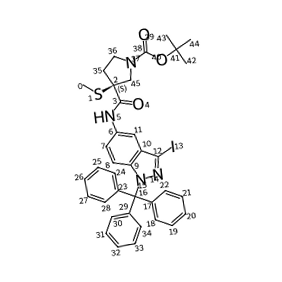 CS[C@@]1(C(=O)Nc2ccc3c(c2)c(I)nn3C(c2ccccc2)(c2ccccc2)c2ccccc2)CCN(C(=O)OC(C)(C)C)C1